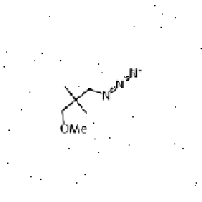 COCC(C)(C)CN=[N+]=[N-]